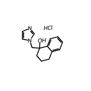 Cl.OC1(Cn2ccnc2)CCCc2ccccc21